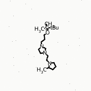 CC1CCCN1CCN1CCN(CCCO[Si](C)(C)C(C)(C)C)C1